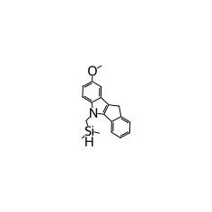 COc1ccc2c(c1)c1c(n2C[SiH](C)C)-c2ccccc2C1